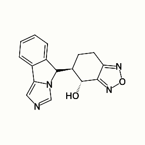 O[C@H]1c2nonc2CC[C@@H]1C1c2ccccc2-c2cncn21